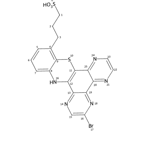 O=S(=O)(O)CCCc1cccc2c1Sc1c(c3ncc(Br)nc3c3nccnc13)N2